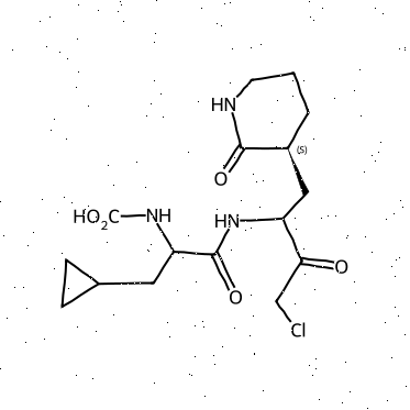 O=C(O)NC(CC1CC1)C(=O)NC(C[C@@H]1CCCNC1=O)C(=O)CCl